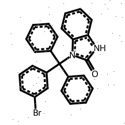 O=c1[nH]c2ccccc2n1C(c1ccccc1)(c1ccccc1)c1cccc(Br)c1